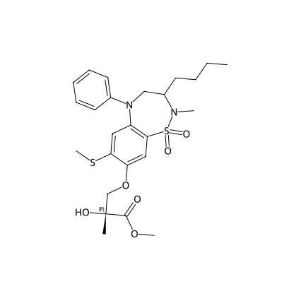 CCCCC1CN(c2ccccc2)c2cc(SC)c(OC[C@@](C)(O)C(=O)OC)cc2S(=O)(=O)N1C